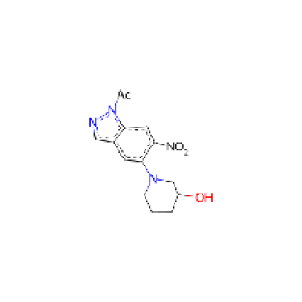 CC(=O)n1ncc2cc(N3CCCC(O)C3)c([N+](=O)[O-])cc21